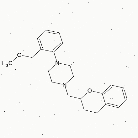 COCc1ccccc1N1CCN(CC2CCc3ccccc3O2)CC1